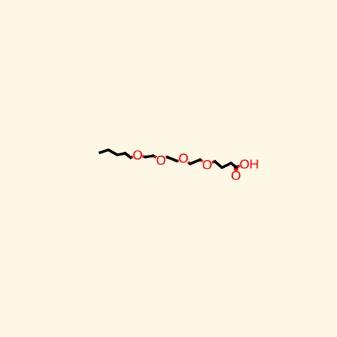 CCCCCOCCOCCOCCOCCCC(=O)O